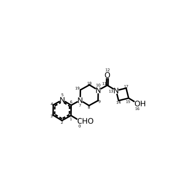 O=Cc1cccnc1N1CCN(C(=O)N2CC(O)C2)CC1